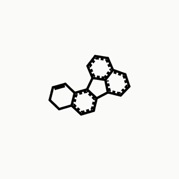 C1=Cc2c(ccc3c2-c2cccc4cccc-3c24)CC1